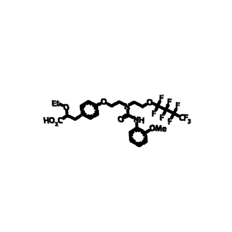 CCOC(Cc1ccc(OCCN(CCOC(F)(F)C(F)(F)C(F)(F)C(F)(F)F)C(=O)Nc2ccccc2OC)cc1)C(=O)O